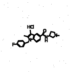 Cc1c(C)n(Cc2ccc(F)cc2)c2ccc(C(=O)NC3CCN(C)C3)cc12.Cl